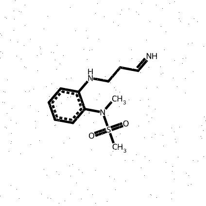 CN(c1ccccc1NCCC=N)S(C)(=O)=O